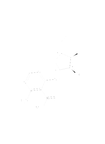 COC(=O)c1c(N)ncnc1N[C@@H]1O[C@H](CO)[C@@H](O)[C@H]1O